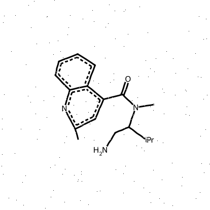 Cc1cc(C(=O)N(C)C(CN)C(C)C)c2ccccc2n1